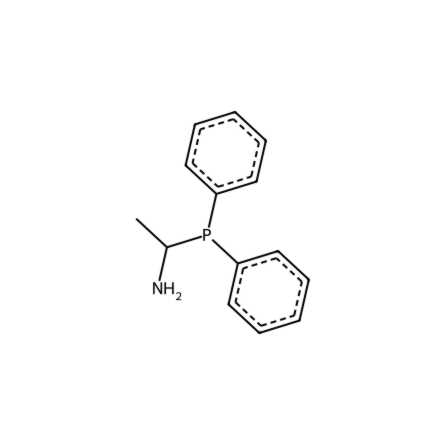 CC(N)P(c1ccccc1)c1ccccc1